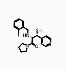 O=C([C@H](NCc1ccccc1I)[C@@H](S)C1=CC=IC=C1)N1CCCC1